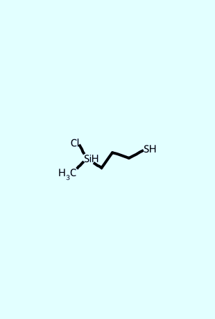 C[SiH](Cl)CCCS